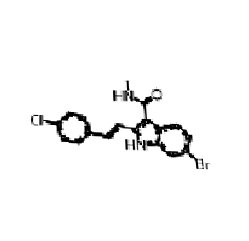 CNC(=O)c1c(C=Cc2ccc(Cl)cc2)[nH]c2cc(Br)ccc12